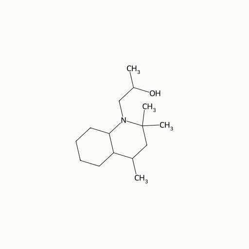 CC(O)CN1C2CCCCC2C(C)CC1(C)C